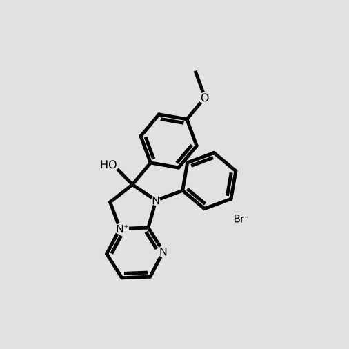 COc1ccc(C2(O)C[n+]3cccnc3N2c2ccccc2)cc1.[Br-]